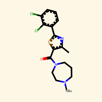 CCCCN1CCCN(C(=O)c2sc(-c3cccc(Cl)c3Cl)nc2C)CC1